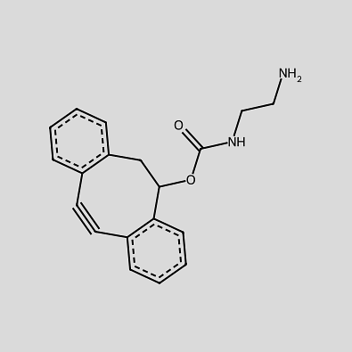 NCCNC(=O)OC1Cc2ccccc2C#Cc2ccccc21